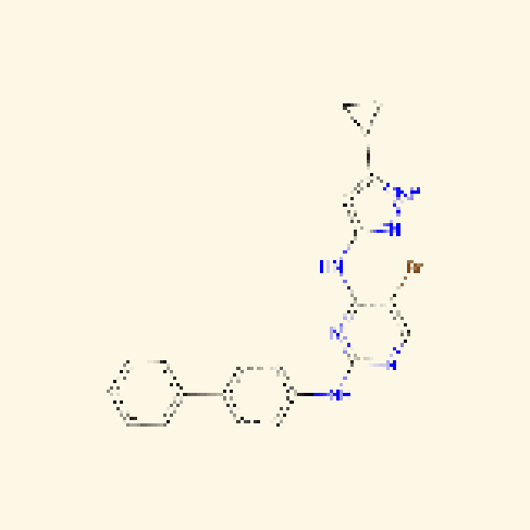 Brc1cnc(Nc2ccc(-c3ccccc3)cc2)nc1Nc1cc(C2CC2)[nH]n1